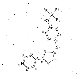 FC(F)(F)Oc1ccc(SC2CCN(c3ccncc3)C2)cc1